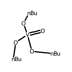 CCCC[O][V](=[O])([O]CCCC)[O]CCCC